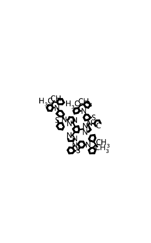 CC1(C)c2ccccc2N(c2ccc3c(c2)Sc2ccccc2N3c2ccnc(-c3cc(-c4nccc(N5c6ccccc6Sc6cc(N7c8ccccc8C(C)(C)c8ccccc87)ccc65)n4)cc(-c4nccc(N5c6ccccc6Sc6cc(N7c8ccccc8C(C)(C)c8ccccc87)ccc65)n4)c3)n2)c2ccccc21